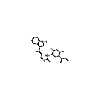 C=CC(=C)c1cc(NC(=C)/N=C\C=C(/C)c2c[nH]c3ccccc23)c(C)cc1C